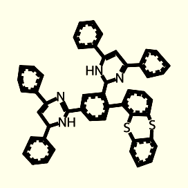 C1=C(c2ccccc2)N=C(c2ccc(-c3cccc4c3Sc3ccccc3S4)c(C3N=C(c4ccccc4)C=C(c4ccccc4)N3)c2)NC1c1ccccc1